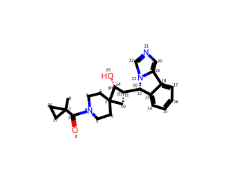 CC1(C(=O)N2CCC3(CC2)C[C@@H]([C@H]2c4ccccc4-c4cncn42)[C@H]3O)CC1